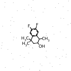 CC1c2cc(F)c(F)cc2C(C)(C)CC1O